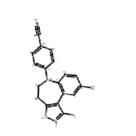 Cc1noc2c1-c1cc(Cl)ccc1N(c1ccc(C#N)cc1)CC2